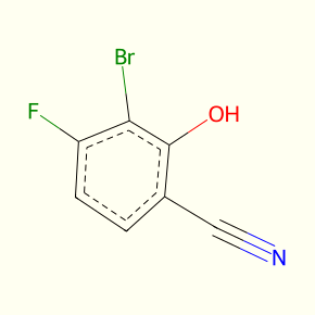 N#Cc1ccc(F)c(Br)c1O